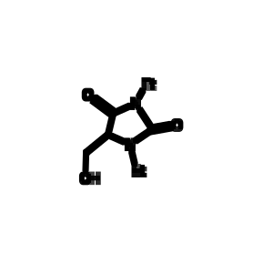 CCN1C(=O)C(CO)N(CC)C1=O